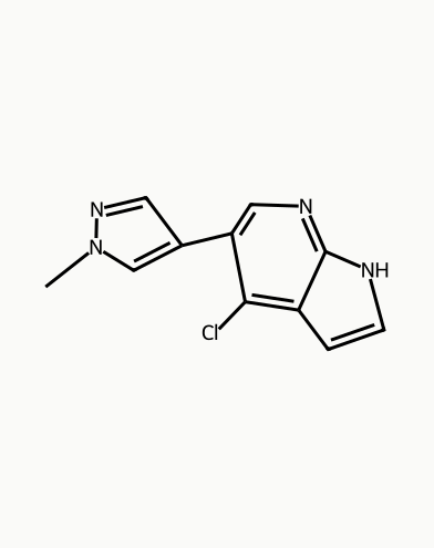 Cn1cc(-c2cnc3[nH]ccc3c2Cl)cn1